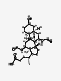 C[C@H](CCC(=O)O)C1CC[C@H]2[C@@H]3[C@H](OC=O)C[C@@H]4C[C@H](O)CC[C@]4(C)[C@H]3C[C@H](OC=O)[C@]12C